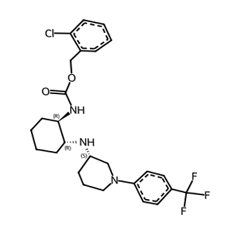 O=C(N[C@@H]1CCCC[C@H]1N[C@H]1CCCN(c2ccc(C(F)(F)F)cc2)C1)OCc1ccccc1Cl